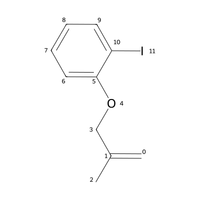 C=C(C)COc1ccccc1I